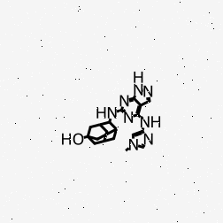 Cn1cnc(Nc2nc(NC3C4CC5CC3CC(O)(C5)C4)nc3[nH]ncc23)c1